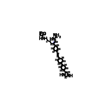 CC(C)CC(=O)NCCCC/C(=C\NCN)c1ccc(C#Cc2ccc(-c3ccc(C4CNCN4)cc3)cc2)cc1